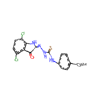 COc1ccc(NC(=S)NN=C2Nc3c(Cl)ccc(Cl)c3C2=O)cc1